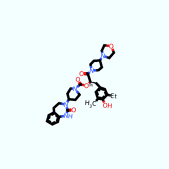 CCc1cc(C[C@@H](OC(=O)N2CCC(N3CCc4ccccc4NC3=O)CC2)C(=O)N2CCC(N3CCOCC3)CC2)cc(C)c1O